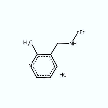 CCCNCc1cccnc1C.Cl